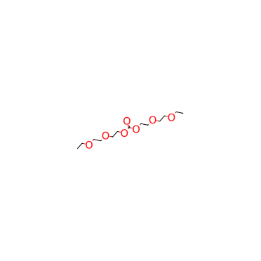 CCOCCOCCOC(=O)OCCOCCOCC